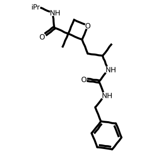 CC(C)NC(=O)C1(C)COC1CC(C)NC(=O)NCc1ccccc1